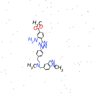 COC(=O)c1ccc(-c2nnn(-c3ccc(CCN(C)Cc4ccc5c(cnn5C)c4)cc3)n2)c(N)c1